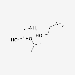 CC(C)O.NCCO.NCCO